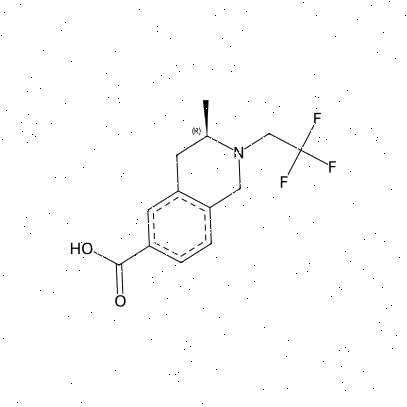 C[C@@H]1Cc2cc(C(=O)O)ccc2CN1CC(F)(F)F